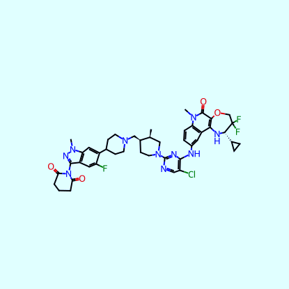 C[C@H]1CN(c2ncc(Cl)c(Nc3ccc4c(c3)c3c(c(=O)n4C)OCC(F)(F)[C@H](C4CC4)N3)n2)CC[C@H]1CN1CCC(c2cc3c(cc2F)c(N2C(=O)CCCC2=O)nn3C)CC1